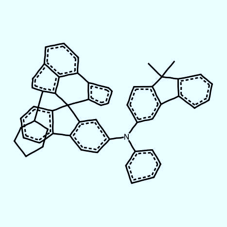 CC1(C)c2ccccc2-c2cc(N(c3ccccc3)c3ccc4c(c3)C3(c5ccccc5-4)c4ccccc4-c4cccc5ccc(C6CCCCC6)c3c45)ccc21